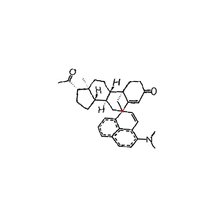 CC(=O)[C@H]1CC[C@H]2[C@@H]3CCC4=CC(=O)CC[C@]4(CC4C=Cc5c(N(C)C)ccc6cccc4c56)[C@H]3CC[C@]12C